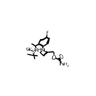 CC(N[S@+]([O-])C(C)(C)C)c1cc(F)ccc1N1CCC1COC(N)=O